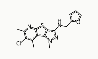 Cc1nc2sc3c(NCc4ccco4)nn(C)c3c2c(C)c1Cl